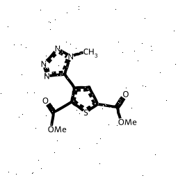 COC(=O)c1cc(-c2nnnn2C)c(C(=O)OC)s1